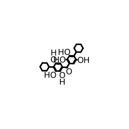 O=C(c1cc(O)c(C2CCCCC2)c(O)c1O)c1cc(O)c(C2CCCCC2)c(O)c1O